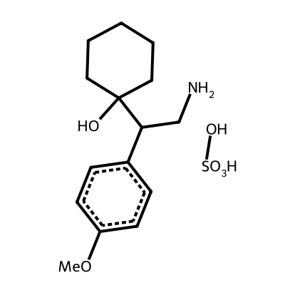 COc1ccc(C(CN)C2(O)CCCCC2)cc1.O=S(=O)(O)O